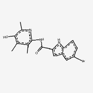 Cc1nc(NC(=O)c2cc3cc(Br)ccc3[nH]2)c(C)c(C)c1O